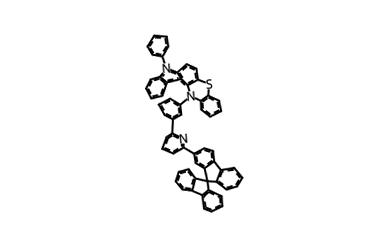 c1ccc(-n2c3ccccc3c3c4c(ccc32)Sc2ccccc2N4c2cccc(-c3cccc(-c4ccc5c(c4)C4(c6ccccc6-c6ccccc64)c4ccccc4-5)n3)c2)cc1